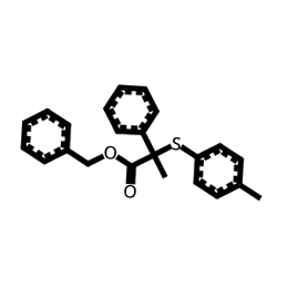 Cc1ccc(SC(C)(C(=O)OCc2ccccc2)c2ccccc2)cc1